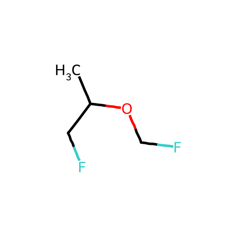 CC(CF)OCF